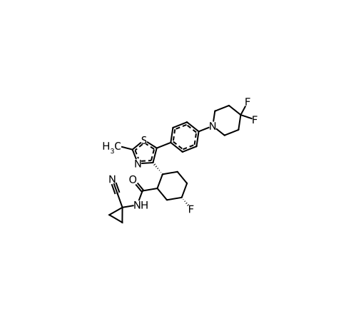 Cc1nc([C@@H]2CC[C@H](F)CC2C(=O)NC2(C#N)CC2)c(-c2ccc(N3CCC(F)(F)CC3)cc2)s1